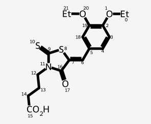 CCOc1ccc(/C=C2\SC(=S)N(CCCC(=O)O)C2=O)cc1OCC